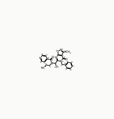 CCC(c1nc2onc(C)c2c(=O)n1Cc1ccccc1)N(CCC#N)C(=O)c1ccncc1